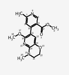 COC(=O)c1cnc(C)cc1-c1cc2c(nc1OC)N(C)CCO2